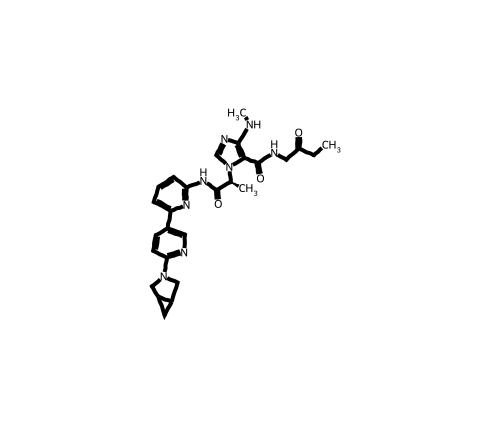 CCC(=O)CNC(=O)c1c(NC)ncn1[C@@H](C)C(=O)Nc1cccc(-c2ccc(N3CC4CC4C3)nc2)n1